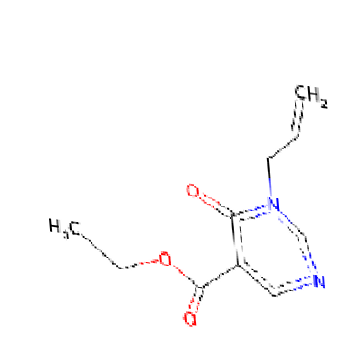 C=CCn1cncc(C(=O)OCC)c1=O